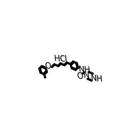 Cc1cccc(OCCCCCCc2ccc(NC(=O)N3CCNCC3)cc2)c1.Cl